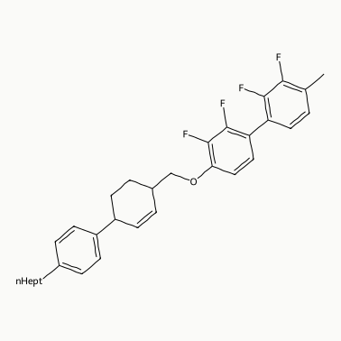 CCCCCCCc1ccc(C2C=CC(COc3ccc(-c4ccc(C)c(F)c4F)c(F)c3F)CC2)cc1